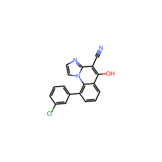 N#Cc1c(O)c2cccc(-c3cccc(Cl)c3)c2n2ccnc12